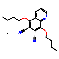 CCCCOc1c(C#N)c(C#N)c(OCCCC)c2ncccc12